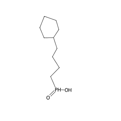 O=[PH](O)CCCCC1CCCCC1